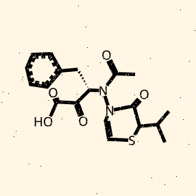 CC(=O)N([C@@H](Cc1ccccc1)C(=O)C(=O)O)N1C=CSC(C(C)C)C1=O